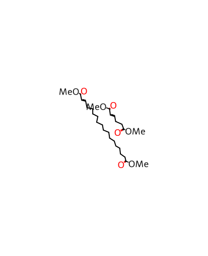 COC(=O)C=CCCC(=O)OC.COC(=O)C=CCCCCCCCCCCCCCCC(=O)OC